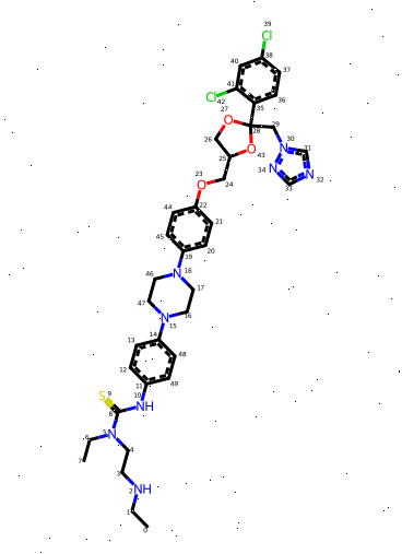 CCNCCN(CC)C(=S)Nc1ccc(N2CCN(c3ccc(OCC4COC(Cn5cncn5)(c5ccc(Cl)cc5Cl)O4)cc3)CC2)cc1